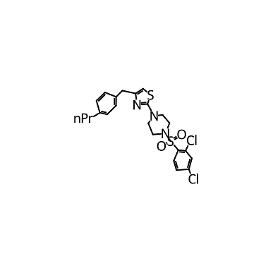 CCCc1ccc(Cc2csc(N3CCN(S(=O)(=O)c4ccc(Cl)cc4Cl)CC3)n2)cc1